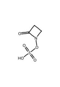 O=C1CCN1OS(=O)(=O)O